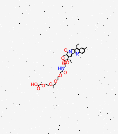 CCc1c2c(nc3ccc(C)cc13)-c1cc3c(c(=O)n1C2)COC(=O)[C@@]3(CC)OC(=O)CNC(=O)COCCOCC(C)OCCOCC(=O)O